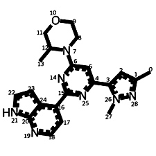 Cc1cc(-c2cc(N3CCOCC3C)nc(-c3ccnc4[nH]ccc34)n2)n(C)n1